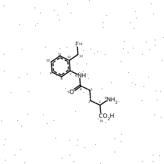 NC(CCC(=O)Nc1ccccc1CF)C(=O)O